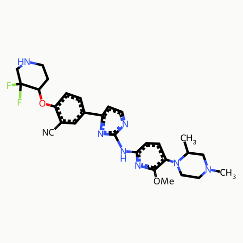 COc1nc(Nc2nccc(-c3ccc(OC4CCNCC4(F)F)c(C#N)c3)n2)ccc1N1CCN(C)CC1C